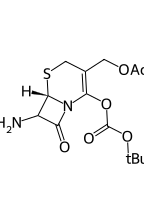 CC(=O)OCC1=C(OC(=O)OC(C)(C)C)N2C(=O)C(N)[C@@H]2SC1